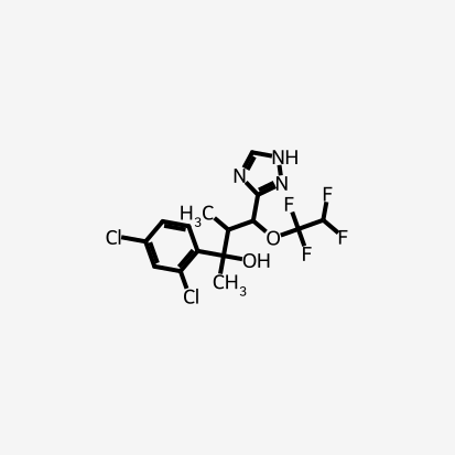 CC(C(OC(F)(F)C(F)F)c1nc[nH]n1)C(C)(O)c1ccc(Cl)cc1Cl